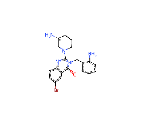 Nc1ccccc1Cn1c(N2CCC[C@@H](N)C2)nc2ccc(Br)cc2c1=O